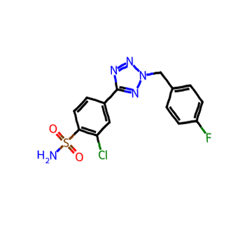 NS(=O)(=O)c1ccc(-c2nnn(Cc3ccc(F)cc3)n2)cc1Cl